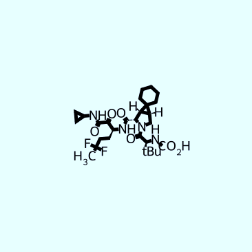 CC(F)(F)CC[C@H](NC(=O)[C@@H]1[C@@H]2[C@H](CN1C(=O)[C@@H](NC(=O)O)C(C)(C)C)C21CCCCC1)C(=O)C(=O)NC1CC1